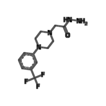 NNC(=O)CN1CCN(c2cccc(C(F)(F)F)c2)CC1